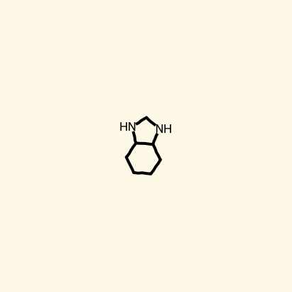 C1CCC2NCNC2C1